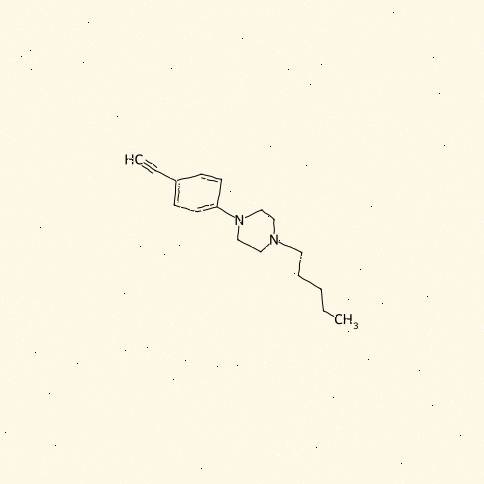 C#Cc1ccc(N2CCN(CCCCC)CC2)cc1